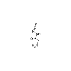 C=C=NNC(=O)CN